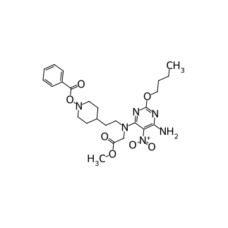 CCCCOc1nc(N)c([N+](=O)[O-])c(N(CCC2CCN(OC(=O)c3ccccc3)CC2)CC(=O)OC)n1